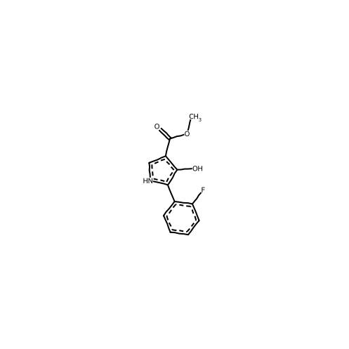 COC(=O)c1c[nH]c(-c2ccccc2F)c1O